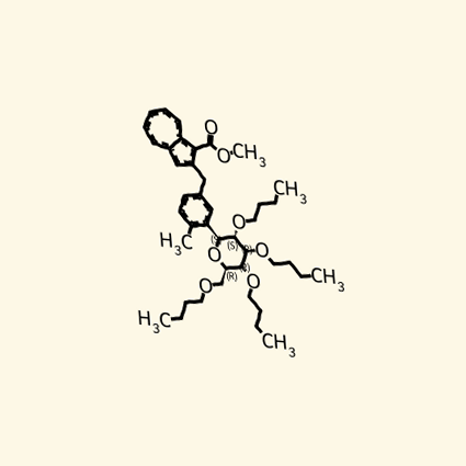 CCCCOC[C@H]1O[C@@H](c2cc(Cc3cc4cccccc-4c3C(=O)OC)ccc2C)[C@H](OCCCC)[C@@H](OCCCC)[C@@H]1OCCCC